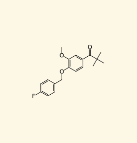 COc1cc(C(=O)C(C)(C)C)ccc1OCc1ccc(F)cc1